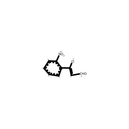 O=CC=C(Cl)c1ccccc1[N+](=O)[O-]